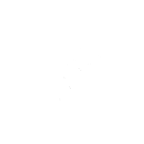 Cn1cc(C(=O)NS(=O)(=O)c2sccc2Br)nc1-c1c(F)cccc1F